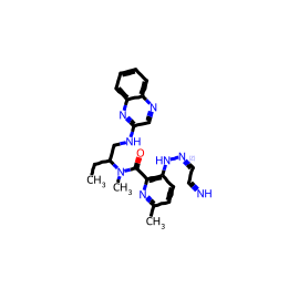 CCC(CNc1cnc2ccccc2n1)N(C)C(=O)c1nc(C)ccc1N/N=C\C=N